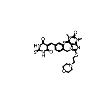 Cn1c(=S)c2c(nc(SCCN3CCOCC3)n2Cc2ccc(C=C3C(=O)NC(=S)NC3=O)cc2)n(C)c1=O